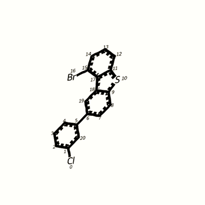 Clc1cccc(-c2ccc3sc4cccc(Br)c4c3c2)c1